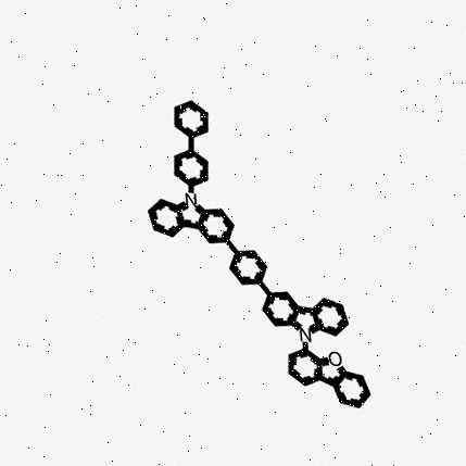 c1ccc(-c2ccc(-n3c4ccccc4c4cc(-c5ccc(-c6ccc7c(c6)c6ccccc6n7-c6cccc7c6oc6ccccc67)cc5)ccc43)cc2)cc1